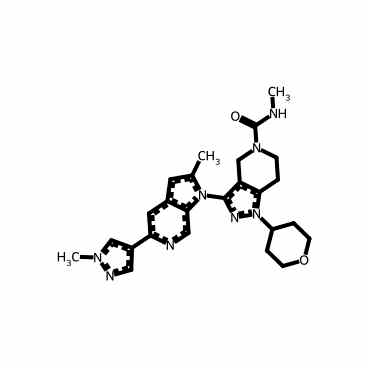 CNC(=O)N1CCc2c(c(-n3c(C)cc4cc(-c5cnn(C)c5)ncc43)nn2C2CCOCC2)C1